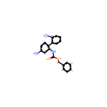 Nc1ccc(-c2ccccc2N)c(NC(=O)OCc2ccccc2)c1